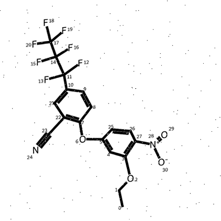 CCOc1cc(Oc2ccc(C(F)(F)C(F)(F)C(F)(F)F)cc2C#N)ccc1[N+](=O)[O-]